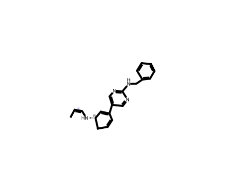 C/C=C\N[C@@H]1C=C(c2cnc(NCc3ccccc3)nc2)C=CC1